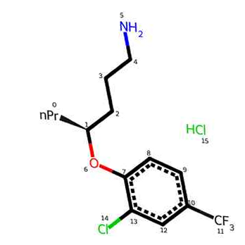 CCC[C@@H](CCCN)Oc1ccc(C(F)(F)F)cc1Cl.Cl